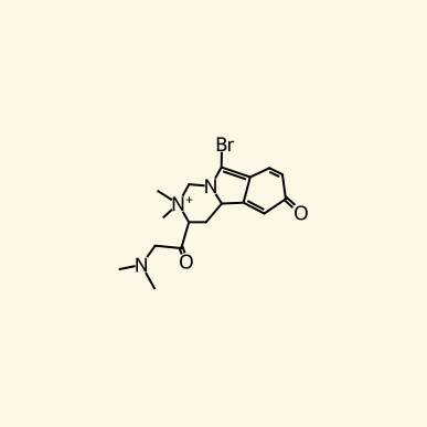 CN(C)CC(=O)C1CC2C3=CC(=O)C=CC3=C(Br)N2C[N+]1(C)C